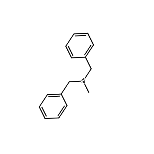 C[Si](Cc1ccccc1)Cc1ccccc1